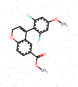 COC(=O)c1ccc2c(c1)C(c1c(F)cc(OC)cc1F)=CCO2